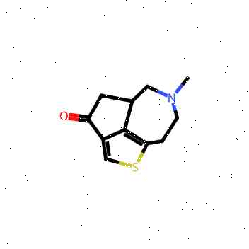 CN1CCc2scc3c2C(CC3=O)C1